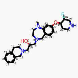 CN1CCN(C[C@H](O)CN2CCc3ccccc3C2)Cc2ccc(OC3CCNCC3F)cc21